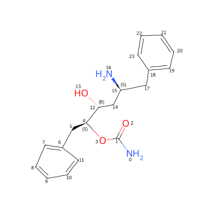 NC(=O)O[C@@H](Cc1ccccc1)[C@H](O)C[C@@H](N)Cc1ccccc1